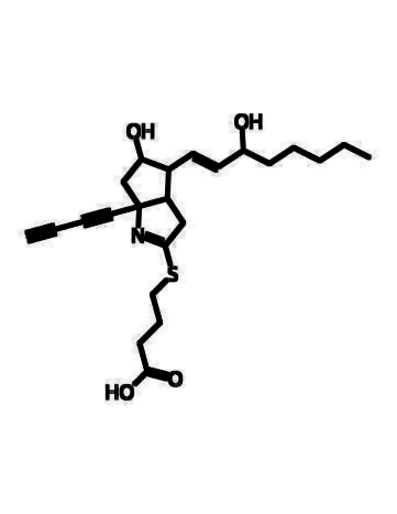 C#CC#CC12CC(O)C(C=CC(O)CCCCC)C1CC(SCCCC(=O)O)=N2